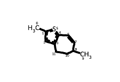 Cc1cc2c(s1)C=CC(C)CC2